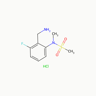 CN(c1cccc(F)c1CN)S(C)(=O)=O.Cl